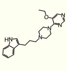 CCOc1cncnc1N1CCN(CCCc2c[nH]c3ccccc23)CC1